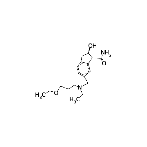 CCOCCCN(CC)Cc1ccc2c(c1)[C@@H](C(N)=O)[C@H](O)C2